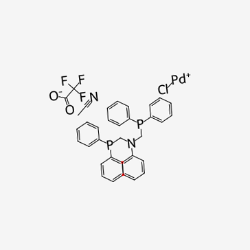 CC#N.O=C([O-])C(F)(F)F.[Cl][Pd+].c1ccc(N(CP(c2ccccc2)c2ccccc2)CP(c2ccccc2)c2ccccc2)cc1